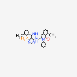 Cc1cccc(C(=N)c2c(P)ncnc2NCc2cc3cccc(C)c3c(=O)n2-c2ccccc2)c1